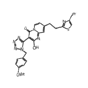 COc1ccc(Cn2nnnc2-c2c(O)nc3cc(CCc4nc(C(C)C)cs4)ccn3c2=O)cc1